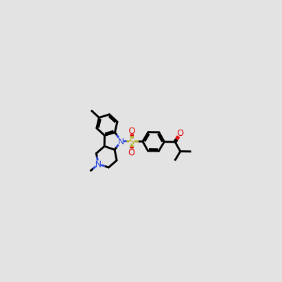 Cc1ccc2c(c1)C1CN(C)CCC1N2S(=O)(=O)c1ccc(C(=O)C(C)C)cc1